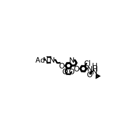 CC(=O)N1CCN(CCCOc2cc3nccc(Oc4ccc(NC(=O)NC5CC5)c(Cl)c4)c3c3c2OCCO3)CC1